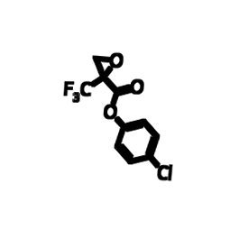 O=C(Oc1ccc(Cl)cc1)C1(C(F)(F)F)CO1